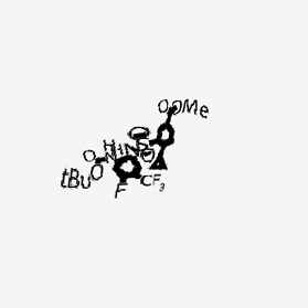 COC(=O)c1ccc(C2CC2)c(S(=O)(=O)Nc2cc(C(F)(F)F)c(F)cc2NC(=O)OC(C)(C)C)c1